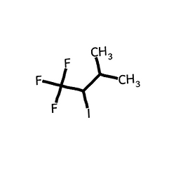 CC(C)C(I)C(F)(F)F